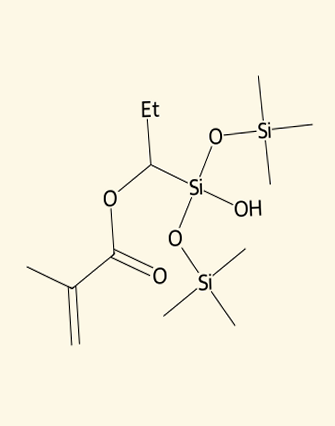 C=C(C)C(=O)OC(CC)[Si](O)(O[Si](C)(C)C)O[Si](C)(C)C